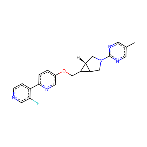 Cc1cnc(N2CC3C(COc4ccc(-c5ccncc5F)nc4)[C@@H]3C2)nc1